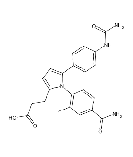 Cc1cc(C(N)=O)ccc1-n1c(CCC(=O)O)ccc1-c1ccc(NC(N)=O)cc1